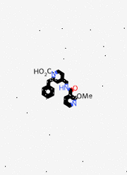 COc1ncccc1C(=O)NCC1CCN(C(=O)O)C(Cc2ccccc2)C1